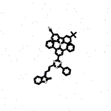 C=c1oc2ccccc2/c1=C/C=C/c1nc(-c2ccccc2)nc(-c2cc(-c3c#cccc3)c(-n3c4c(c5cc(C#N)ccc53)C=C(C(C)(C)C)CC4)c(-c3ccccc3)c2)n1